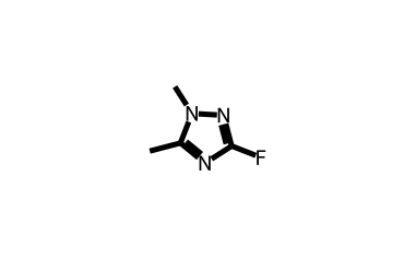 Cc1nc(F)nn1C